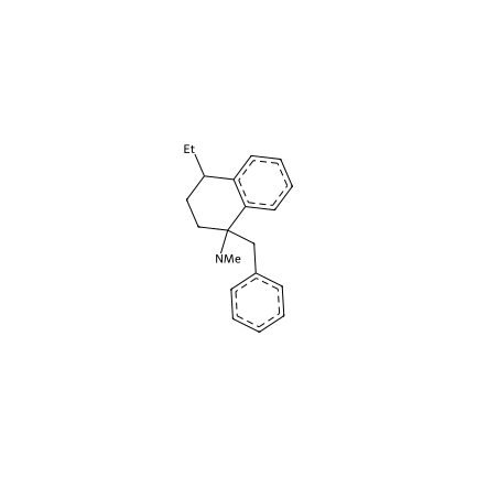 CCC1CCC(Cc2ccccc2)(NC)c2ccccc21